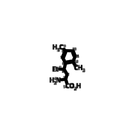 CCC(CC(N)C(=O)O)c1cc(C)ccc1C